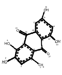 Cc1cc(O)c(O)c2c1C(=O)c1c(O)cc(O)cc1C2=O